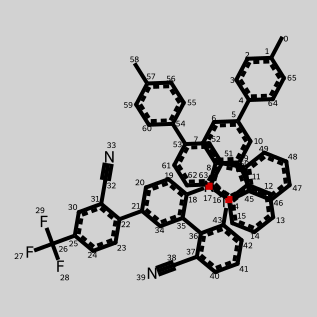 Cc1ccc(-c2ccc3c(c2)c2ccccc2n3-c2ccc(-c3ccc(C(F)(F)F)cc3C#N)cc2-c2c(C#N)cccc2-n2c3ccccc3c3cc(-c4ccc(C)cc4)ccc32)cc1